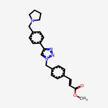 COC(=O)/C=C/c1ccc(Cn2cc(-c3ccc(CN4CCCC4)cc3)nn2)cc1